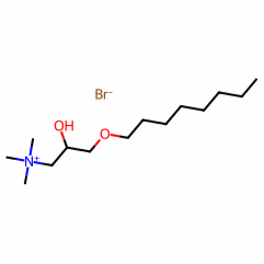 CCCCCCCCOCC(O)C[N+](C)(C)C.[Br-]